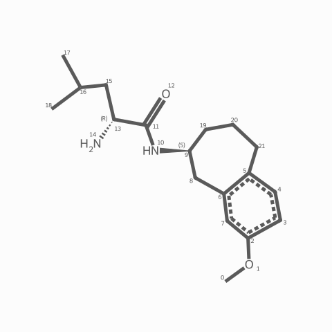 COc1ccc2c(c1)C[C@@H](NC(=O)[C@H](N)CC(C)C)CCC2